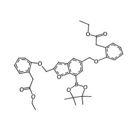 CCOC(=O)Cc1ccccc1OCc1cc(B2OC(C)(C)C(C)(C)O2)c2oc(COc3ccccc3CC(=O)OCC)cc2c1